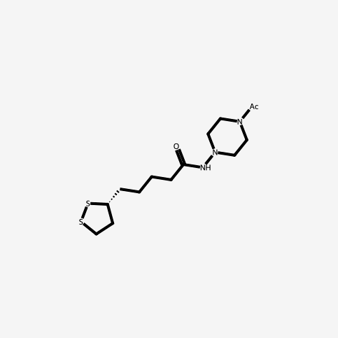 CC(=O)N1CCN(NC(=O)CCCC[C@@H]2CCSS2)CC1